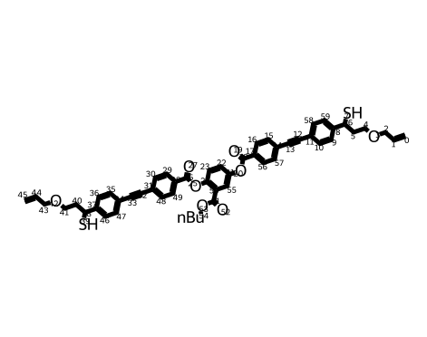 C=CCOCCC(S)c1ccc(C#Cc2ccc(C(=O)Oc3ccc(OC(=O)c4ccc(C#Cc5ccc(C(S)CCOCC=C)cc5)cc4)c(C(=O)OCCCC)c3)cc2)cc1